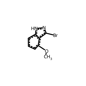 COc1cccc2[nH]nc(Br)c12